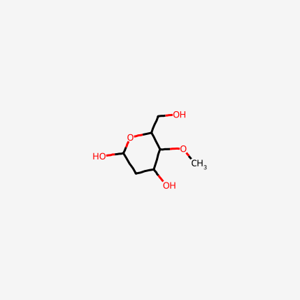 COC1C(O)CC(O)OC1CO